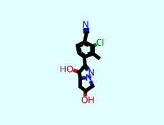 Cc1c(C2=NN3CC(O)CC3C2O)ccc(C#N)c1Cl